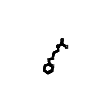 O=C(Cl)OCCSSC1=NC=CCC1